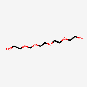 OCCOCCOCCOCOCCO